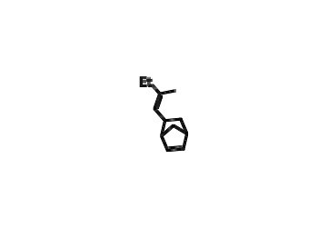 CCC(C)=CC1CC2C=CC1C2